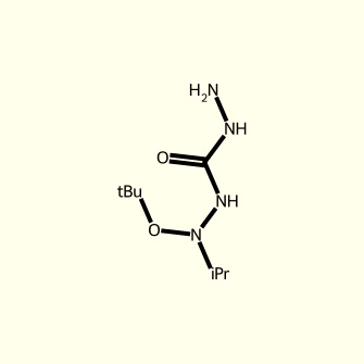 CC(C)N(NC(=O)NN)OC(C)(C)C